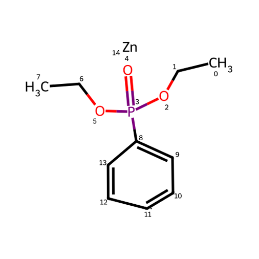 CCOP(=O)(OCC)c1cc[c]cc1.[Zn]